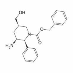 N[C@H]1C[C@@H](CO)CN(C(=O)OCc2ccccc2)[C@H]1c1ccccc1